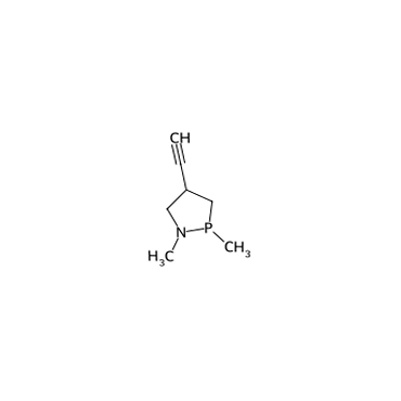 C#CC1CN(C)P(C)C1